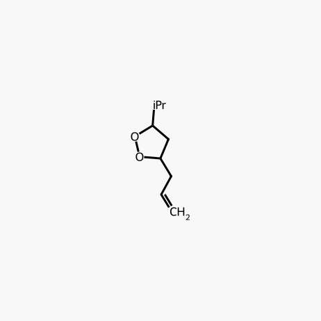 C=CCC1CC(C(C)C)OO1